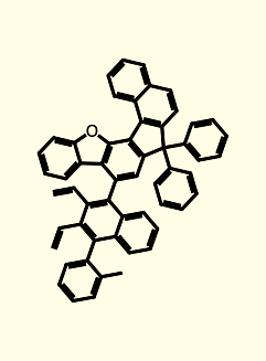 C=Cc1c(C=C)c(-c2cc3c(c4oc5ccccc5c24)-c2c(ccc4ccccc24)C3(c2ccccc2)c2ccccc2)c2ccccc2c1-c1ccccc1C